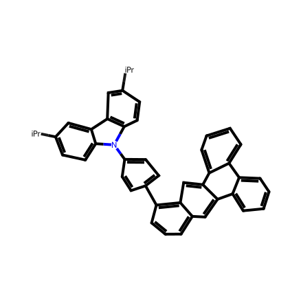 CC(C)c1ccc2c(c1)c1cc(C(C)C)ccc1n2-c1ccc(-c2cccc3cc4c5ccccc5c5ccccc5c4cc23)cc1